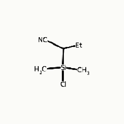 CCC(C#N)[Si](C)(C)Cl